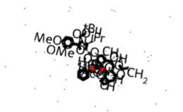 C=CC1OC2[C@@H](O)C3=C(C)[C@@H](OC(=O)[C@@H]4OC(c5ccc(OC)cc5OC)N(C(=O)OC(C)(C)C)[C@H]4CC(C)C)C[C@@]3(C(C)(C)O)[C@@H](OC(=O)c3ccccc3)[C@@H]3[C@]4(OC(C)=O)CO[C@@H]4C[C@H](O1)[C@@]23C